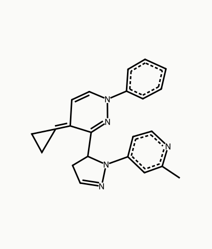 Cc1cc(N2N=CCC2C2=NN(c3ccccc3)C=CC2=C2CC2)ccn1